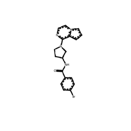 O=C(NC1CCN(c2nccn3cccc23)C1)c1ccc(Br)cc1